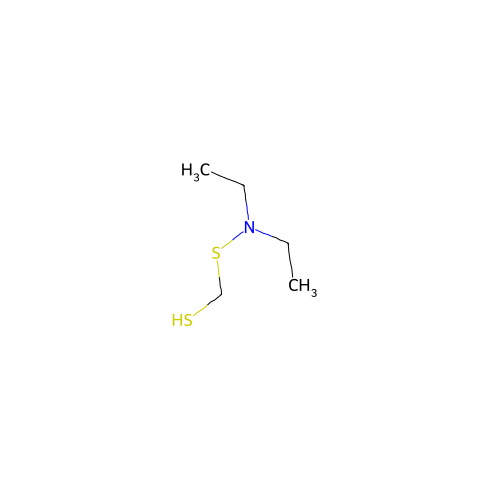 CCN(CC)SCS